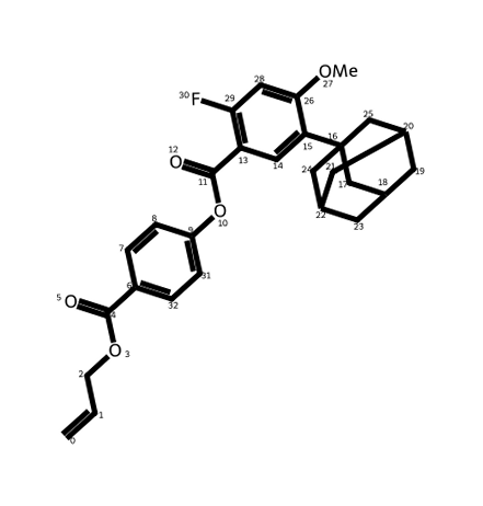 C=CCOC(=O)c1ccc(OC(=O)c2cc(C34CC5CC(CC(C5)C3)C4)c(OC)cc2F)cc1